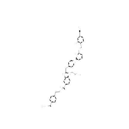 COCCn1c(Cc2cc[n+](-c3cccc(OCc4ccc(C#N)cc4F)n3)cc2)nc2cc(C(=O)NCCc3ccc(C(=O)O)cc3)ccc21